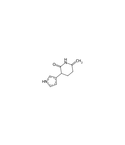 C=C1CCC(c2cc[nH]c2)C(=O)N1